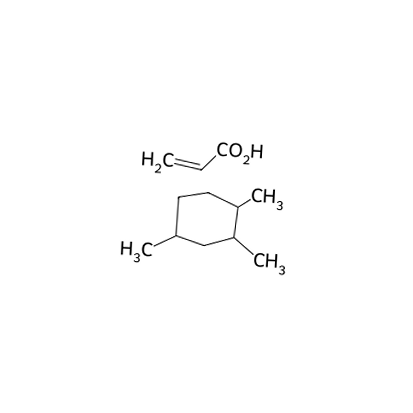 C=CC(=O)O.CC1CCC(C)C(C)C1